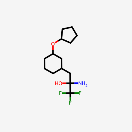 NC(O)(CC1CCCC(OC2CCCC2)C1)C(F)(F)F